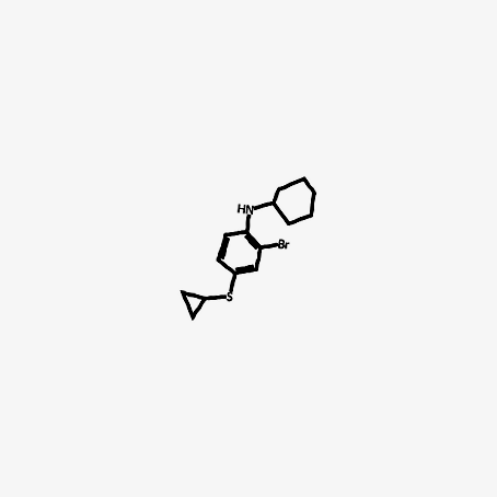 Brc1cc(SC2CC2)ccc1NC1CCCCC1